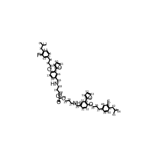 CC(C)Cc1ccc(CCCOc2ccc(CNCCCO[PH](=O)OCCCNCc3ccc(OCCCc4ccc(CC(C)C)c(F)c4)c(-c4ccco4)c3)cc2-c2ccco2)cc1F